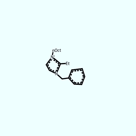 CCCCCCCC[n+]1ccn(Cc2ccccc2)c1CC